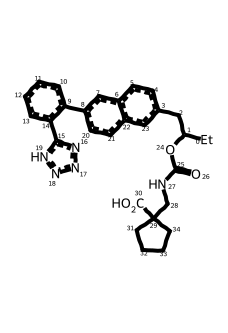 CCC(Cc1ccc2cc(-c3ccccc3-c3nnn[nH]3)ccc2c1)OC(=O)NCC1(C(=O)O)CCCC1